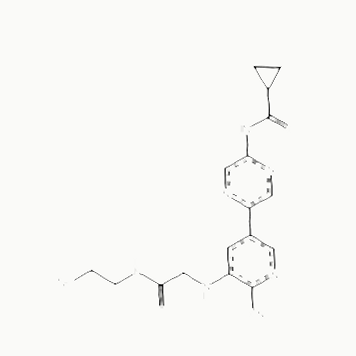 N#CCCNC(=O)CNc1cc(-c2cnc(NC(=O)C3CC3)cn2)cnc1C#N